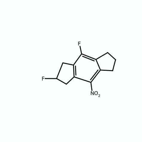 O=[N+]([O-])c1c2c(c(F)c3c1CC(F)C3)CCC2